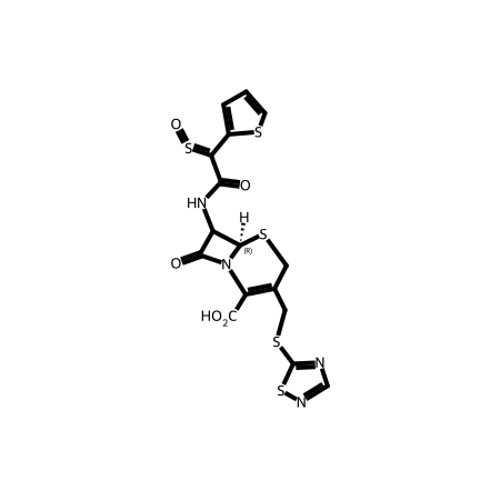 O=S=C(C(=O)NC1C(=O)N2C(C(=O)O)=C(CSc3ncns3)CS[C@H]12)c1cccs1